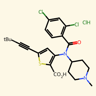 CN1CCC(N(C(=O)c2ccc(Cl)cc2Cl)c2cc(C#CC(C)(C)C)sc2C(=O)O)CC1.Cl